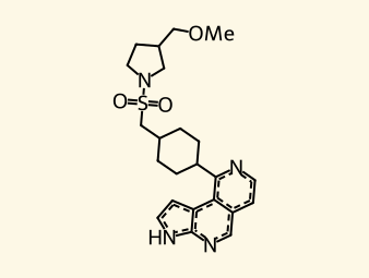 COCC1CCN(S(=O)(=O)CC2CCC(c3nccc4cnc5[nH]ccc5c34)CC2)C1